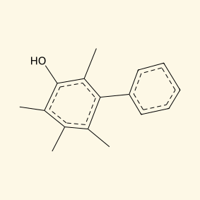 Cc1c(C)c(O)c(C)c(-c2ccccc2)c1C